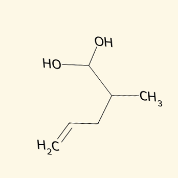 C=CCC(C)C(O)O